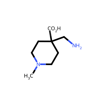 CN1CCC(CN)(C(=O)O)CC1